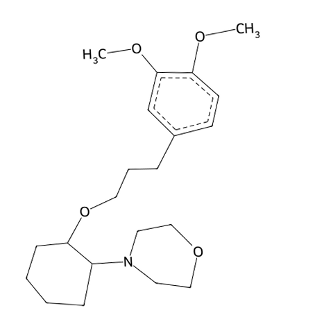 COc1ccc(CCCOC2CCCCC2N2CCOCC2)cc1OC